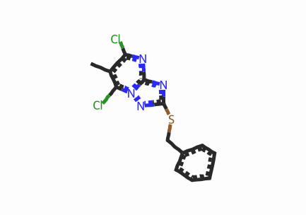 Cc1c(Cl)nc2nc(SCc3ccccc3)nn2c1Cl